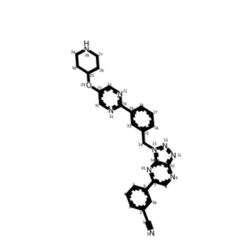 N#Cc1cccc(-c2cnc3nnn(Cc4cccc(-c5ncc(OC6CCNCC6)cn5)c4)c3n2)c1